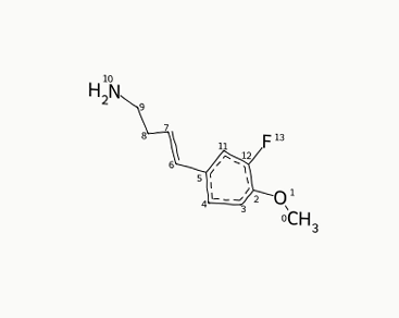 COc1ccc(C=CCCN)cc1F